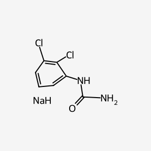 NC(=O)Nc1cccc(Cl)c1Cl.[NaH]